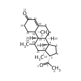 CC(=O)[C@H]1CC[C@H]2[C@@H]3CCC4=CC(=O)CC[C@]4(C)[C@H]3C(C)C[C@]12C